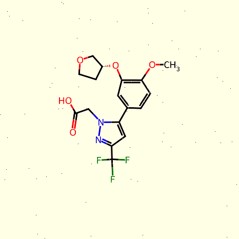 COc1ccc(-c2cc(C(F)(F)F)nn2CC(=O)O)cc1O[C@@H]1CCOC1